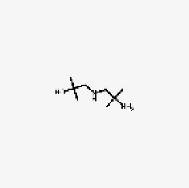 CC(C)(N)CNCC(C)(C)O